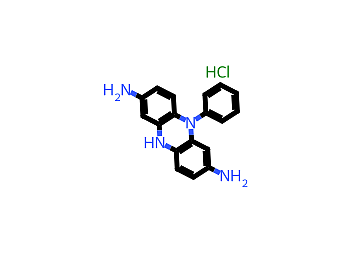 Cl.Nc1ccc2c(c1)Nc1ccc(N)cc1N2c1ccccc1